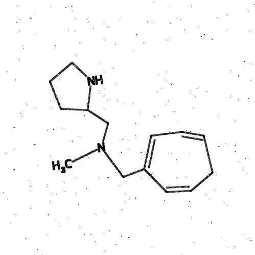 CN(CC1=CC=CCC=C1)CC1CCCN1